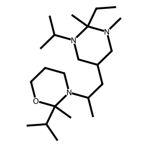 CCC1(C)N(C)CC(CC(C)N2CCCOC2(C)C(C)C)CN1C(C)C